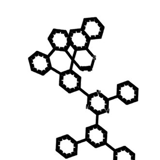 c1ccc(-c2cc(-c3ccccc3)cc(-c3nc(-c4ccccc4)nc(-c4ccc5c(c4)C4(c6ccccc6Sc6c4ccc4ccccc64)c4ccccc4-c4ccccc4-5)n3)c2)cc1